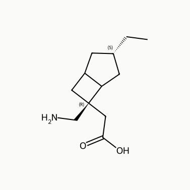 CC[C@H]1CC2C[C@@](CN)(CC(=O)O)C2C1